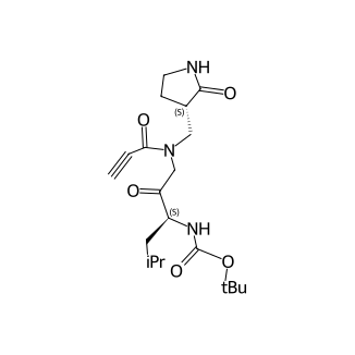 C#CC(=O)N(CC(=O)[C@H](CC(C)C)NC(=O)OC(C)(C)C)C[C@@H]1CCNC1=O